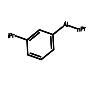 CC[CH2][Al][c]1cccc(C(C)C)c1